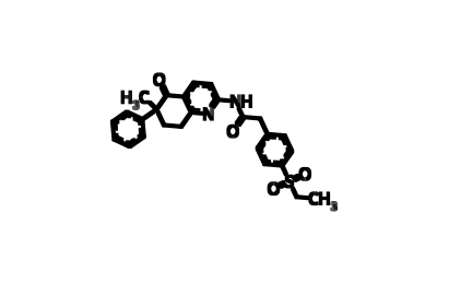 CCS(=O)(=O)c1ccc(CC(=O)Nc2ccc3c(n2)CCC(C)(c2ccccc2)C3=O)cc1